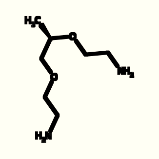 C[C@H](COCCN)OCCN